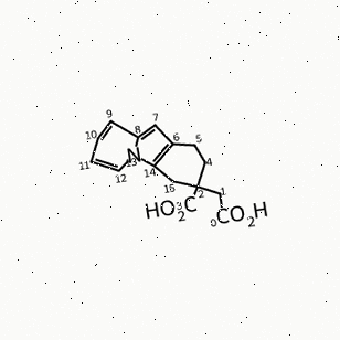 O=C(O)CC1(C(=O)O)CCc2cc3ccccn3c2C1